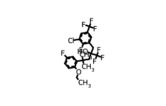 CCOc1ccc(F)cc1C(C)(C)CC(O)(Cc1cc(C(F)(F)F)cc(Cl)c1F)C(F)(F)F